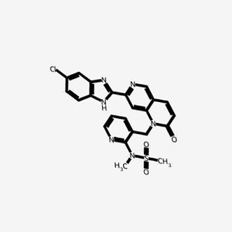 CN(c1ncccc1Cn1c(=O)ccc2cnc(-c3nc4cc(Cl)ccc4[nH]3)cc21)S(C)(=O)=O